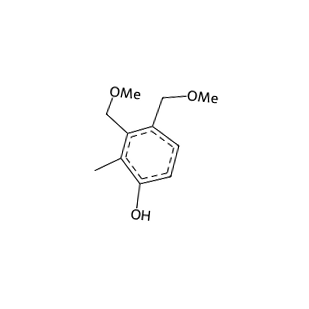 COCc1ccc(O)c(C)c1COC